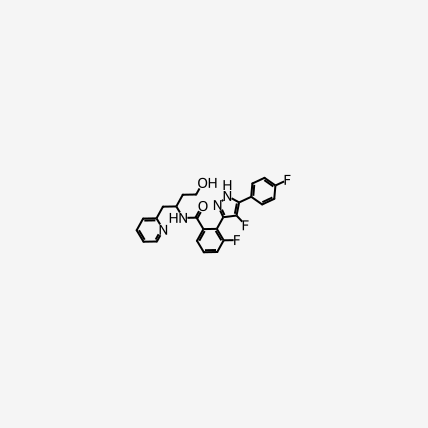 O=C(NC(CCO)Cc1ccccn1)c1cccc(F)c1-c1n[nH]c(-c2ccc(F)cc2)c1F